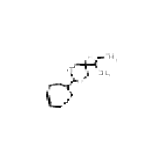 CCC(C)C1(C)COC(C2CCC=CCCC2)OC1